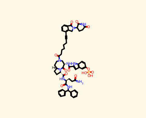 NC(=O)CC[C@H](NC(=O)[C@@H]1CC[C@@H]2CCN(C(=O)CCCCCC#Cc3cccc4c3CN(C3CCC(=O)NC3=O)C4=O)C[C@H](NC(=O)c3cc4cc(OP(=O)(O)O)ccc4[nH]3)C(=O)N21)C(=O)NC(c1ccccc1)c1ccccc1